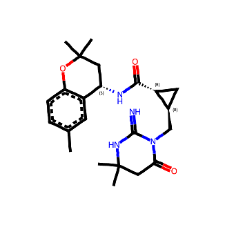 Cc1ccc2c(c1)[C@@H](NC(=O)[C@@H]1C[C@H]1CN1C(=N)NC(C)(C)CC1=O)CC(C)(C)O2